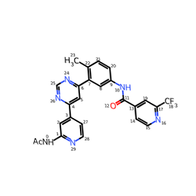 CC(=O)Nc1cc(-c2cc(-c3cc(NC(=O)c4ccnc(C(F)(F)F)c4)ccc3C)ncn2)ccn1